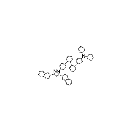 c1ccc(N(c2ccccc2)c2ccc(-c3ccccc3-c3ccccc3-c3ccc(-n4nc(-c5ccc6ccccc6c5)cc4-c4ccc5ccccc5c4)cc3)cc2)cc1